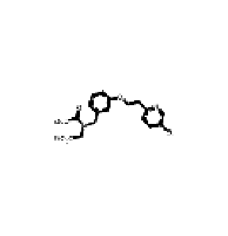 CCOC(=O)CN(Cc1cccc(OCCc2ccc(CC)cn2)c1)C(=O)OCC(C)C